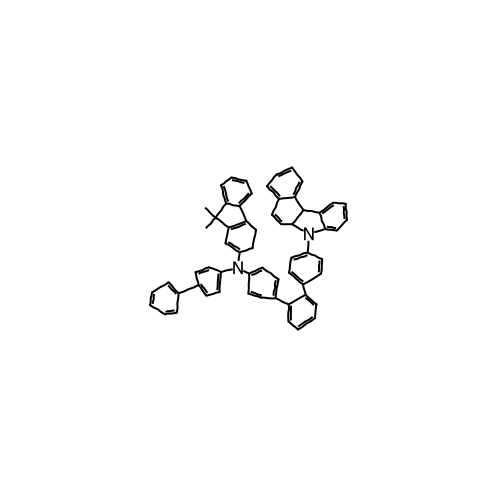 CC1(C)C2=C(CCC(N(c3ccc(-c4ccccc4)cc3)c3ccc(-c4ccccc4-c4ccc(N5c6ccccc6C6c7ccccc7C=CC65)cc4)cc3)=C2)c2ccccc21